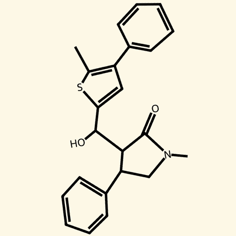 Cc1sc(C(O)C2C(=O)N(C)CC2c2ccccc2)cc1-c1ccccc1